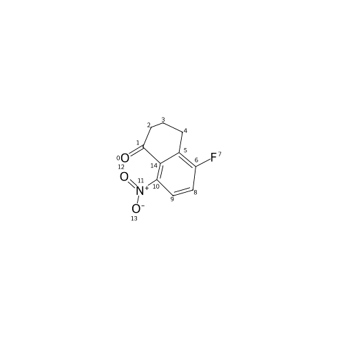 O=C1CCCc2c(F)ccc([N+](=O)[O-])c21